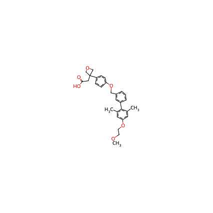 COCCOc1cc(C)c(-c2cccc(COc3ccc(C4(CC(=O)O)COC4)cc3)c2)c(C)c1